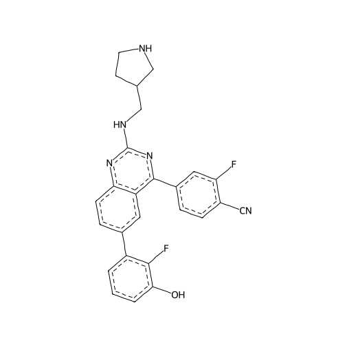 N#Cc1ccc(-c2nc(NCC3CCNC3)nc3ccc(-c4cccc(O)c4F)cc23)cc1F